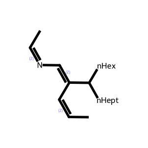 C\C=C/C(=C\N=C/C)C(CCCCCC)CCCCCCC